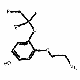 Cl.NCCOc1ccccc1OC(F)(F)CF